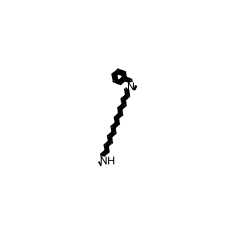 CNCCCCCCCCCCCCCCCN(C)Cc1ccccc1